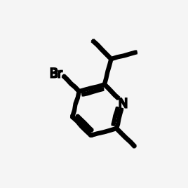 Cc1ccc(Br)c(C(C)C)n1